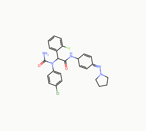 NC(=O)N(c1ccc(Cl)cc1)C(C(=O)NC1C=CC(=NN2CCCC2)C=C1)c1ccccc1F